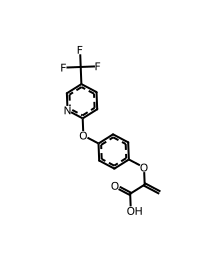 C=C(Oc1ccc(Oc2ccc(C(F)(F)F)cn2)cc1)C(=O)O